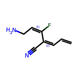 C=C/C=C(C#N)\C(F)=C/CN